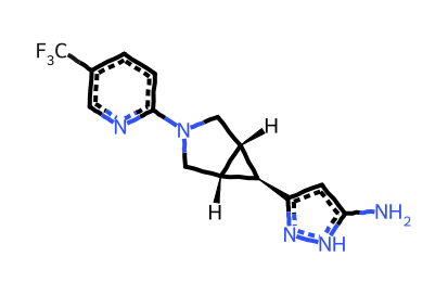 Nc1cc([C@H]2[C@@H]3CN(c4ccc(C(F)(F)F)cn4)C[C@@H]32)n[nH]1